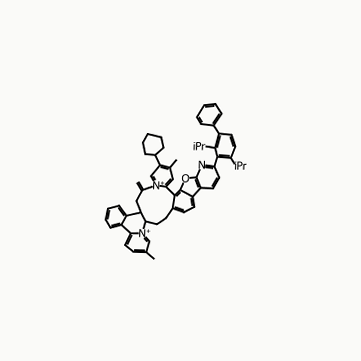 C=C1CC2c3ccccc3-c3ccc(C)c[n+]3C2CCc2ccc3c(oc4nc(-c5c(C(C)C)ccc(-c6ccccc6)c5C(C)C)ccc43)c2-c2cc(C)c(C3CCCCC3)c[n+]21